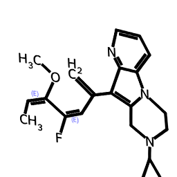 C=C(/C=C(F)\C(=C/C)OC)c1c2n(c3cccnc13)CCN(C1CC1)C2